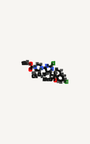 COC(=O)C1(Cc2nc(Cl)nc(N3CCN(C(=O)OC(C)(C)C)[C@@H](CC#N)C3)c2[N+](=O)[O-])CCCc2cc(Cl)ccc21